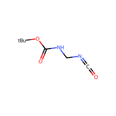 CC(C)(C)OC(=O)NCN=C=O